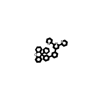 C1=CCCC(C2(c3cccc(-c4cccc(-c5cc(-c6ccccn6)nc(-c6ccccn6)c5)c4)c3)C3=CC=CCC3Oc3ccccc32)=C1